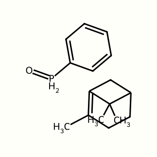 CC1=C2CC(CC1)C2(C)C.O=[PH2]c1ccccc1